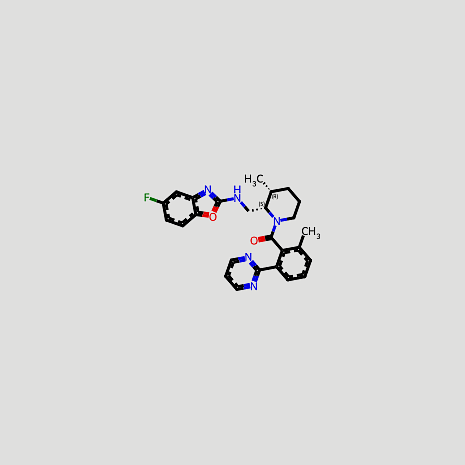 Cc1cccc(-c2ncccn2)c1C(=O)N1CCC[C@@H](C)[C@H]1CNc1nc2cc(F)ccc2o1